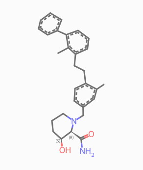 Cc1cc(CN2CCC[C@H](O)[C@@H]2C(N)=O)ccc1CCc1cccc(-c2ccccc2)c1C